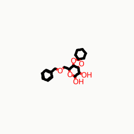 OC1OC(COCc2ccccc2)C2OC3(CCCCC3)OC2C1O